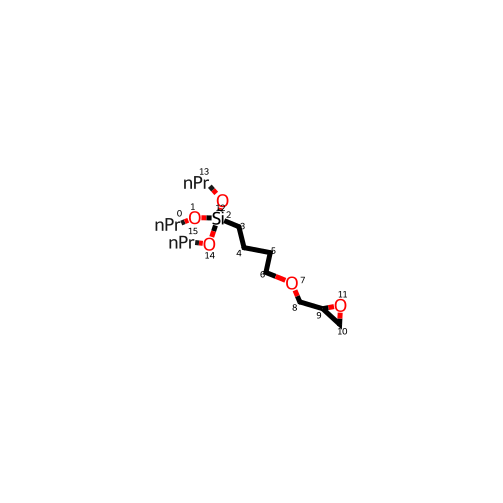 CCCO[Si](CCCCOCC1CO1)(OCCC)OCCC